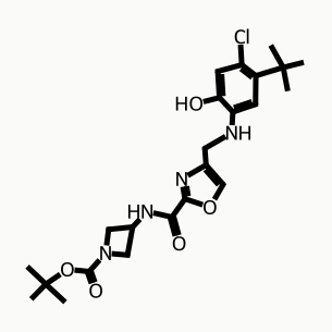 CC(C)(C)OC(=O)N1CC(NC(=O)c2nc(CNc3cc(C(C)(C)C)c(Cl)cc3O)co2)C1